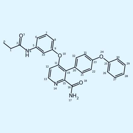 CCC(=O)Nc1cccc(Oc2ccnc(C(N)=O)c2-c2ccc(Oc3ccccc3)cc2)c1